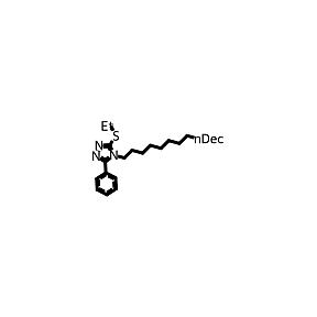 CCCCCCCCCCCCCCCCCCn1c(SCC)nnc1-c1ccccc1